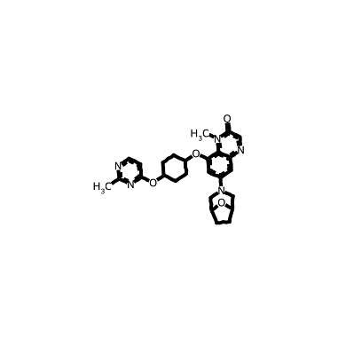 Cc1nccc(OC2CCC(Oc3cc(N4CC5CCC(C4)O5)cc4ncc(=O)n(C)c34)CC2)n1